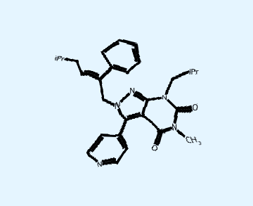 CC(C)CC=C(Cn1nc2c(c1-c1ccncc1)c(=O)n(C)c(=O)n2CC(C)C)c1ccccc1